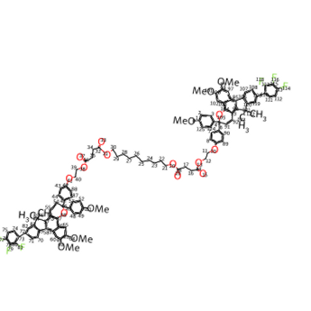 COc1ccc(C2(c3ccc(OCCOC(=O)CCC(=O)OCCCCCCCCCCOC(=O)CCC(=O)OCCOc4ccc(C5(c6ccc(OC)cc6)C=Cc6c7c(c8cc(OC)c(OC)cc8c6O5)-c5ccc(-c6ccc(F)c(F)c6F)cc5C7(C)C)cc4)cc3)C=Cc3c4c(c5cc(OC)c(OC)cc5c3O2)-c2ccc(-c3ccc(F)c(F)c3F)cc2C4(C)C)cc1